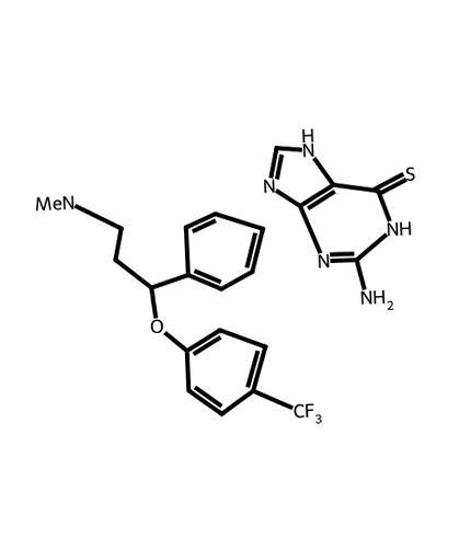 CNCCC(Oc1ccc(C(F)(F)F)cc1)c1ccccc1.Nc1nc2nc[nH]c2c(=S)[nH]1